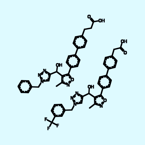 Cc1noc(-c2ccc(-c3ccc(CC(=O)O)cc3)cc2)c1C(O)c1cn(Cc2cccc(C(F)(F)F)c2)nn1.Cc1noc(-c2ccc(-c3ccc(CCC(=O)O)cc3)cc2)c1C(O)c1cn(Cc2ccccc2)nn1